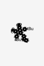 CC(C)(C)c1ccc(N2c3cc4c(cc3B3c5cc6c(cc5N(c5ccc(C(C)(C)C)cc5)c5cc(-c7ccc8c(c7)C(C)(C)c7ccccc7-8)cc2c53)OCO6)OCO4)cc1